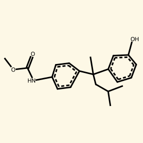 COC(=O)Nc1ccc(C(C)(CC(C)C)c2cccc(O)c2)cc1